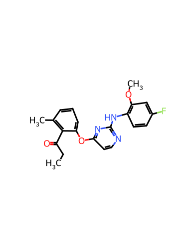 CCC(=O)c1c(C)cccc1Oc1ccnc(Nc2ccc(F)cc2OC)n1